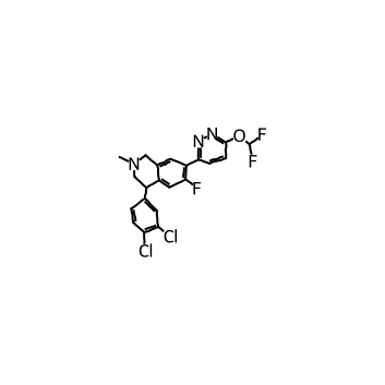 CN1Cc2cc(-c3ccc(OC(F)F)nn3)c(F)cc2C(c2ccc(Cl)c(Cl)c2)C1